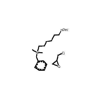 CCCCCCCCCCCCCCCC[N+](C)(C)Cc1ccccc1.ClCC1CO1